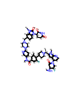 CNc1cc(=O)n(-c2ccnc3c2cc([C@H](C)N2CC=C(c4c(C)cc(C(=O)N(C)c5ccc(N6CCN(Cc7ccc8c(c7)n(C)c(=O)n8C7CCC(=O)NC7=O)CC6)nc5)cc4F)CC2)n3C)cc1F